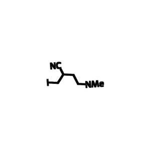 CNCCC(C#N)CI